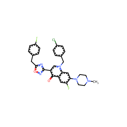 CN1CCN(c2cc3c(cc2F)c(=O)c(-c2noc(Cc4ccc(F)cc4)n2)cn3Cc2ccc(Cl)cc2)CC1